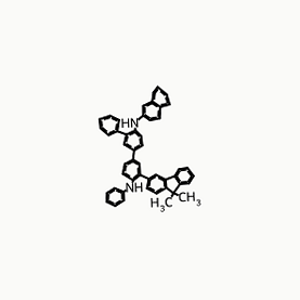 CC1(C)c2ccccc2-c2cc(-c3cc(-c4ccc(Nc5ccc6ccccc6c5)c(-c5ccccc5)c4)ccc3Nc3ccccc3)ccc21